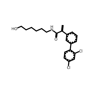 C=C(C(=O)NCCCCCCO)c1[c]ccc(-c2ccc(Cl)cc2Cl)c1